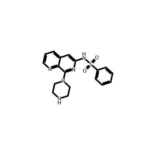 O=S(=O)(Nc1cc2cccnc2c(N2CCNCC2)n1)c1ccccc1